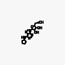 C#CCC1OC(n2cnc3c(NC4CCCC4)ncnc32)C(O)C1O